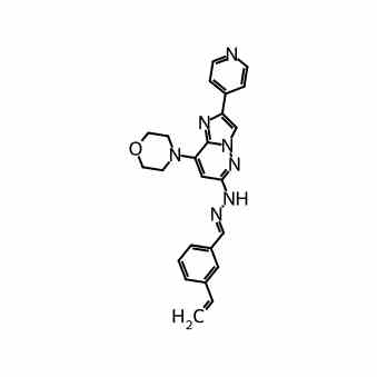 C=Cc1cccc(/C=N/Nc2cc(N3CCOCC3)c3nc(-c4ccncc4)cn3n2)c1